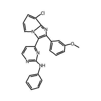 COc1cccc(-c2nc3c(Cl)cccn3c2-c2ccnc(Nc3ccccc3)n2)c1